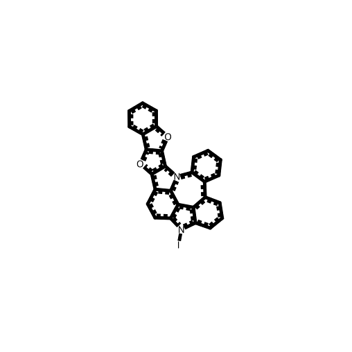 In1c2cccc3c4ccccc4n4c5c(oc6c7ccccc7oc65)c5ccc1c(c32)c54